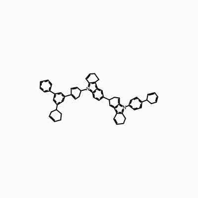 C1=CCC(c2ccc(-n3c4c(c5c3=CCC(c3ccc6c(c3)c3c(n6C6C=CC(c7cc(-c8ccccc8)cc(C8CC=CCC8)c7)=CC6)C=CCC3)C=5)C=CCC4)cc2)C=C1